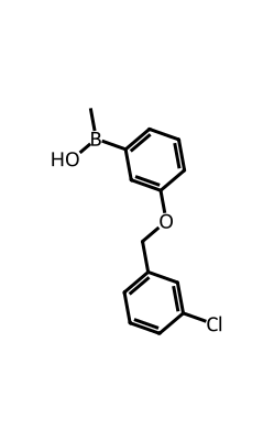 CB(O)c1cccc(OCc2cccc(Cl)c2)c1